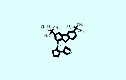 CC(C)(C)c1ccc2c(c1)-c1cc(C(C)(C)C)c[c]([Zr+2][C]3=C(c4ccsc4)C=CC3)c1C2.[Cl-].[Cl-]